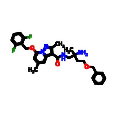 Cc1cc(OCc2c(F)cccc2F)n2nc(C)c(C(=O)NCC(C)(N)CCOCc3ccccc3)c2c1